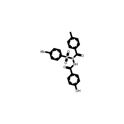 Cc1ccc(C(=O)N(NC(=O)c2ccc(O)cc2)S(=O)(=O)c2ccc(C(C)(C)C)cc2)cc1